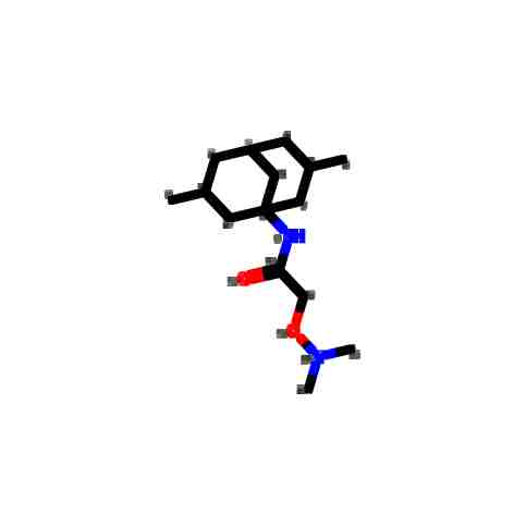 CC1CC2CC(C)CC(NC(=O)CON(C)C)(C1)C2